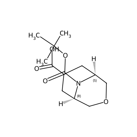 CC(C)(C)OC(=O)N1[C@@H]2COC[C@H]1CC(C(=O)O)C2